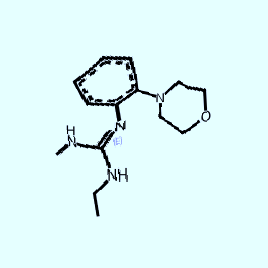 CCN/C(=N/c1ccccc1N1CCOCC1)NC